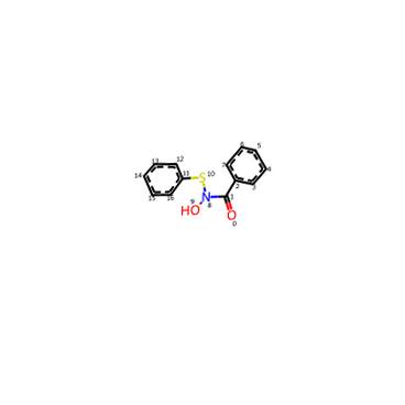 O=C(c1ccccc1)N(O)Sc1ccccc1